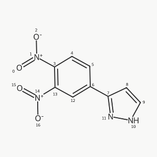 O=[N+]([O-])c1ccc(-c2cc[nH]n2)cc1[N+](=O)[O-]